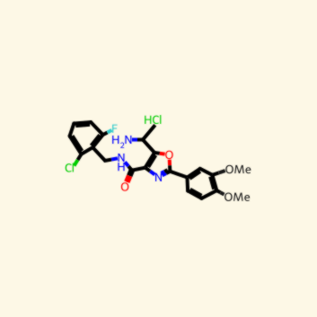 COc1ccc(-c2nc(C(=O)NCc3c(F)cccc3Cl)c(C(C)N)o2)cc1OC.Cl